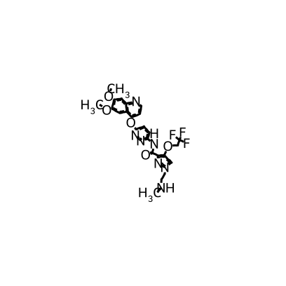 CNCCn1cc(OCC(F)(F)F)c(C(=O)Nc2ccc(Oc3ccnc4cc(OC)c(OC)cc34)nn2)n1